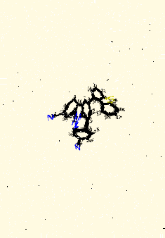 N#Cc1ccc2c3cc(-c4cccc5sc6ccccc6c45)cc4c5ccc(C#N)cc5n(c2c1)c34